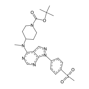 CN(c1ncnc2c1cnn2-c1ccc(S(C)(=O)=O)cc1)C1CCN(C(=O)OC(C)(C)C)CC1